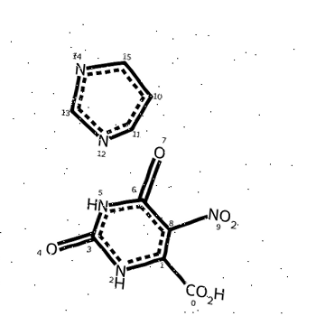 O=C(O)c1[nH]c(=O)[nH]c(=O)c1[N+](=O)[O-].c1cncnc1